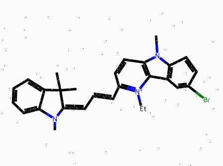 CC[n+]1c(/C=C/C=C2/N(C)c3ccccc3C2(C)C)ccc2c1c1cc(Br)ccc1n2C